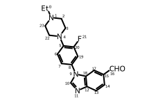 CCN1CCN(c2ccc(-n3cnc4ccc(C=O)cc43)cc2F)CC1